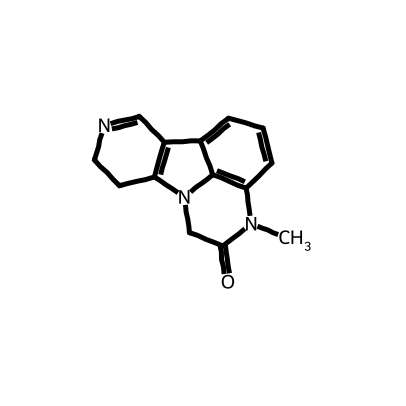 CN1C(=O)Cn2c3c(c4cccc1c42)C=NCC3